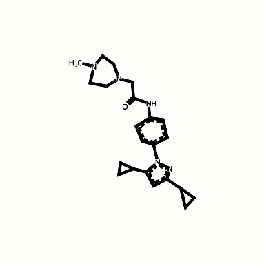 CN1CCN(CC(=O)Nc2ccc(-n3nc(C4CC4)cc3C3CC3)cc2)CC1